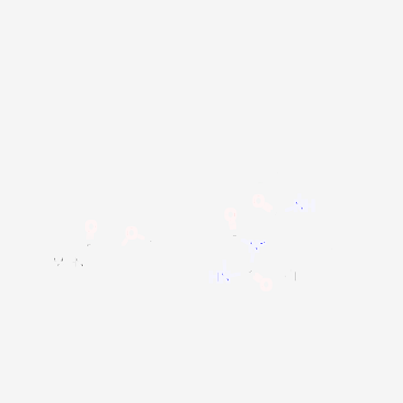 CNC(=O)COc1ccc(C2NC(=O)N([C@@H](C(=O)Nc3ccc(I)cc3F)[C@@H](C)c3ccccc3)C2=O)cc1